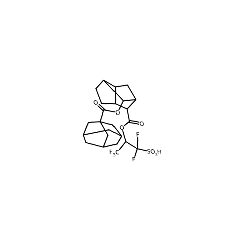 O=C(OC(C(F)(F)F)C(F)(F)S(=O)(=O)O)C1C2CCC3C2CC1C3OC(=O)C12CC3CC(CC(C3)C1)C2